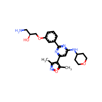 Cc1noc(C)c1-c1cc(NC2CCOCC2)nc(-c2cccc(OC[C@@H](O)CN)c2)n1